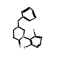 O=C1CCC(Cc2ccccc2)CN1c1c(F)cccc1F